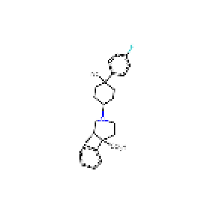 C[C@H]1CN(C2CCC(C#N)(c3ccc(F)cc3)CC2)CC[C@]1(C(=O)O)c1ccccc1